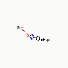 CCCCCCCc1ccc(-c2ncc(OCCCCOCC)cn2)cc1